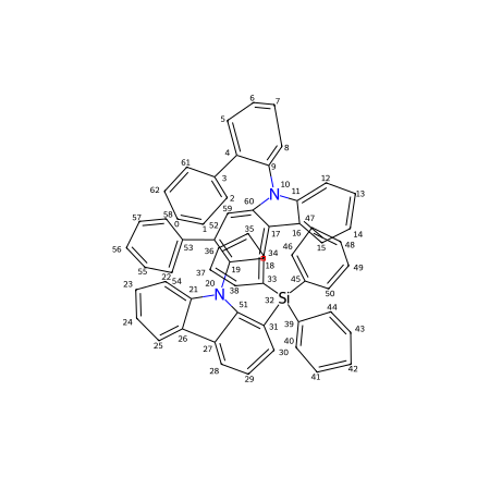 c1ccc(-c2ccccc2-n2c3ccccc3c3cc(-n4c5ccccc5c5cccc([Si](c6ccccc6)(c6ccccc6)c6ccccc6)c54)c(-c4ccccc4)cc32)cc1